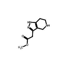 COC(=O)Cc1n[nH]c2c1CNCC2